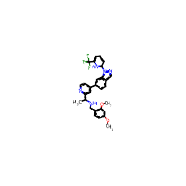 COc1ccc(CNC(C)c2cc(-c3ccc4cnn(C5C=CC=C(C(F)(F)F)N5)c4c3)ccn2)c(OC)c1